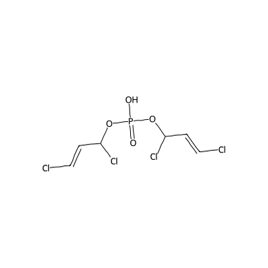 O=P(O)(OC(Cl)C=CCl)OC(Cl)C=CCl